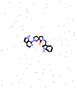 Cn1ccc2ccnc(N3CCC4(CCN(Cc5c[nH]c6ccccc56)C4=O)C3)c21